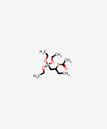 CCO[Si](CC(CC)SC(C)=O)(OCC)OCC